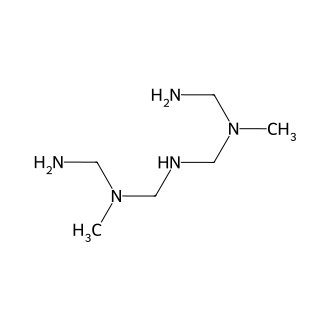 CN(CN)CNCN(C)CN